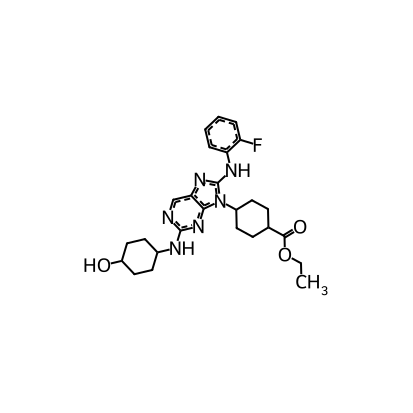 CCOC(=O)C1CCC(n2c(Nc3ccccc3F)nc3cnc(NC4CCC(O)CC4)nc32)CC1